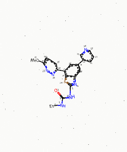 CCNC(=O)Nc1nc2cc(-c3cccnc3)cc(-c3ccc(OC)nn3)c2s1